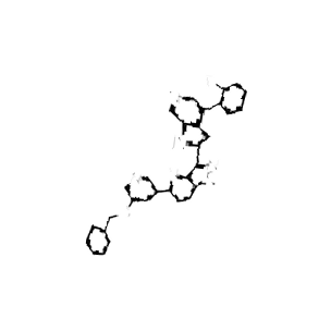 Fc1ccccc1-c1cncc2[nH]c(-c3n[nH]c4ccc(-c5cncc(OCc6ccccc6)c5)nc34)cc12